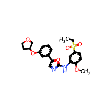 CCS(=O)(=O)c1ccc(OC)c(Nc2ncc(-c3cccc(OC4CCOC4)c3)o2)c1